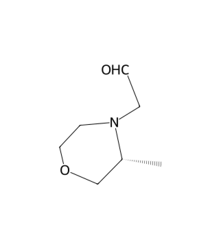 C[C@@H]1COCCN1CC=O